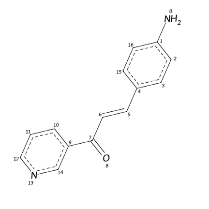 Nc1ccc(C=CC(=O)c2cccnc2)cc1